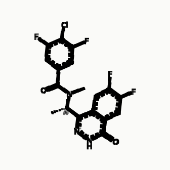 C[C@@H](c1n[nH]c(=O)c2cc(F)c(F)cc12)N(C)C(=O)c1cc(F)c(Cl)c(F)c1